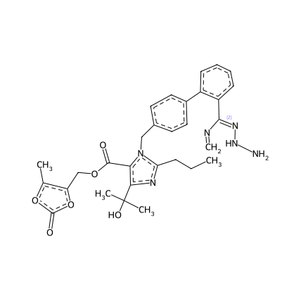 C=N/C(=N\NN)c1ccccc1-c1ccc(Cn2c(CCC)nc(C(C)(C)O)c2C(=O)OCc2oc(=O)oc2C)cc1